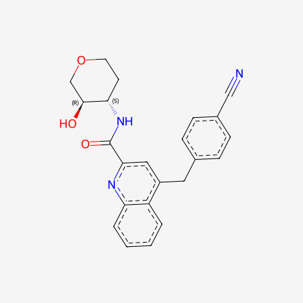 N#Cc1ccc(Cc2cc(C(=O)N[C@H]3CCOC[C@@H]3O)nc3ccccc23)cc1